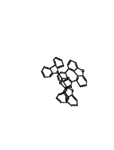 c1ccc(-c2nc(-c3cccc4oc5cccc(-c6cccc(-c7nc8ccccc8s7)c6)c5c34)nc(-n3c4ccccc4c4ccccc43)n2)cc1